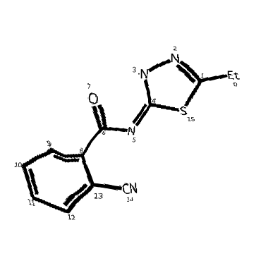 CCC1=N[N]C(=NC(=O)c2ccccc2C#N)S1